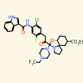 CCOC(=O)[C@H]1CC[C@H](OC(C(=O)Cc2cc(Cl)c(NC(=O)c3c[nH]c4ccccc34)cc2F)(N2CCCC2)N2CCN(CC(F)(F)F)CC2)CC1